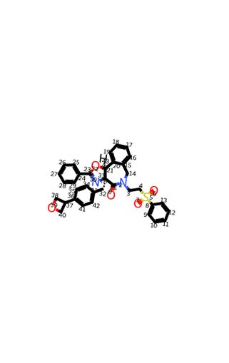 O=C1N(CCS(=O)(=O)c2ccccc2)Cc2ccccc2[C@@H]2OC(c3ccccc3)=N[C@]12Cc1ccc(C2COC2)cc1